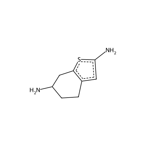 Nc1cc2c(s1)CC(N)CC2